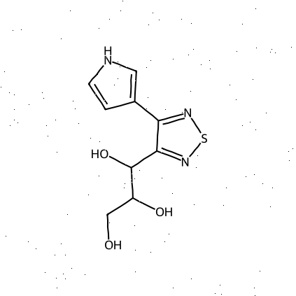 OCC(O)C(O)c1nsnc1-c1cc[nH]c1